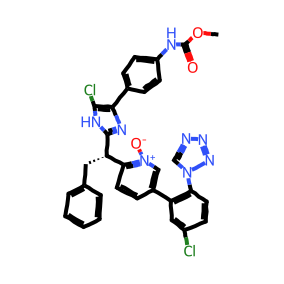 COC(=O)Nc1ccc(-c2nc([C@@H](Cc3ccccc3)c3ccc(-c4cc(Cl)ccc4-n4cnnn4)c[n+]3[O-])[nH]c2Cl)cc1